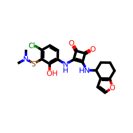 CN(C)Sc1c(Cl)ccc(Nc2c(NC3CCCc4occc43)c(=O)c2=O)c1O